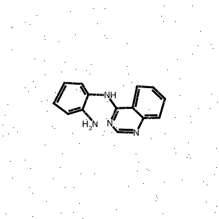 Nc1ccccc1Nc1ncnc2ccccc12